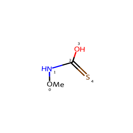 CONC(O)=S